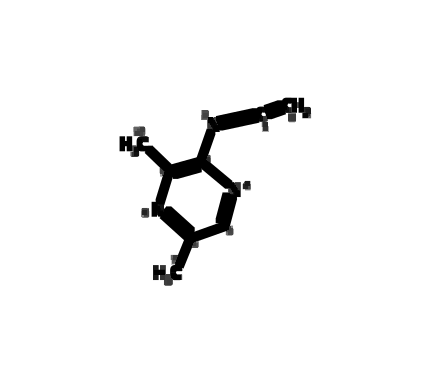 C=C=Nc1ncc(C)nc1C